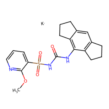 COc1ncccc1S(=O)(=O)NC(=O)Nc1c2c(cc3c1CCC3)CCC2.[K]